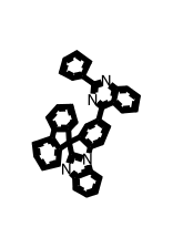 c1ccc(-c2nc(-c3ccc4c(c3)C3(c5ccccc5-c5ccccc53)c3nc5ccccc5n3-4)c3ccccc3n2)cc1